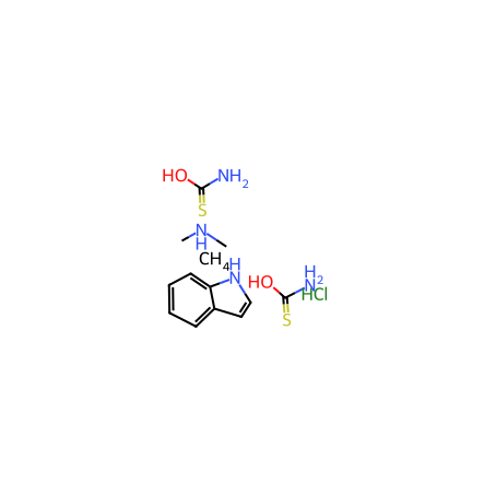 C.CNC.Cl.NC(O)=S.NC(O)=S.c1ccc2[nH]ccc2c1